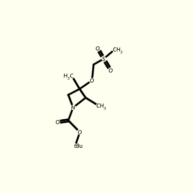 CC1N(C(=O)OC(C)(C)C)CC1(C)OCS(C)(=O)=O